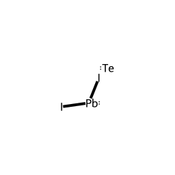 [I][Pb][I].[Te]